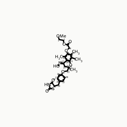 COCCOC(=O)COc1c(C)c(C)c2c(c1C)C(=NO)CC(C)(COc1ccc(CC3SC(=O)NC3=O)cc1)O2